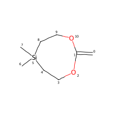 C=C1OCC[Si](C)(C)CCO1